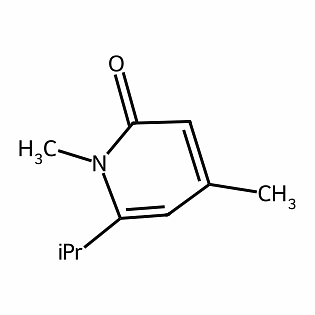 Cc1cc(C(C)C)n(C)c(=O)c1